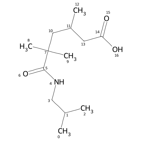 CC(C)CNC(=O)C(C)(C)CC(C)CC(=O)O